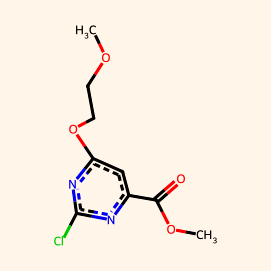 COCCOc1cc(C(=O)OC)nc(Cl)n1